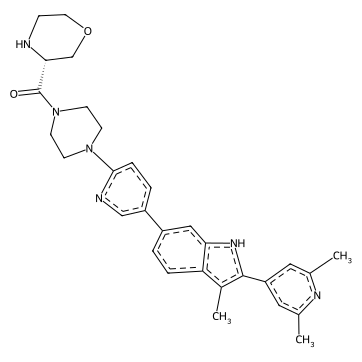 Cc1cc(-c2[nH]c3cc(-c4ccc(N5CCN(C(=O)[C@H]6COCCN6)CC5)nc4)ccc3c2C)cc(C)n1